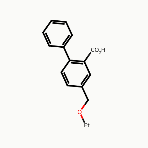 CCOCc1ccc(-c2ccccc2)c(C(=O)O)c1